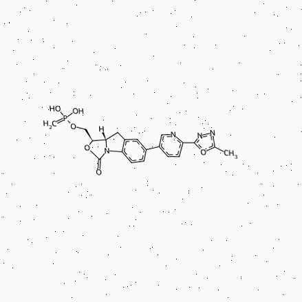 C=P(O)(O)OC[C@@H]1OC(=O)N2c3ccc(-c4ccc(-c5nnc(C)o5)nc4)cc3C[C@@H]12